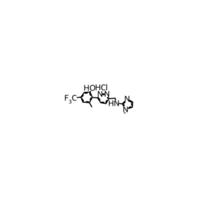 Cc1cc(C(F)(F)F)cc(O)c1-c1ccc(CNc2nccn2C)nn1.Cl